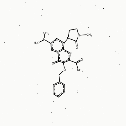 CN1CCN(c2cc(N(C)C)cn3c(=O)c(OCc4ccccc4)c(C(N)=O)nc23)C1=O